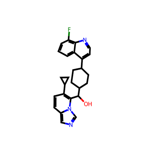 OC(c1c(C2CC2)ccc2cncn12)C1CCC(c2ccnc3c(F)cccc23)CC1